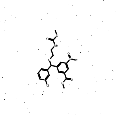 COC(=O)NCCOC(c1cccc(Cl)c1)c1cc(C(=O)OC)cc([N+](=O)[O-])c1